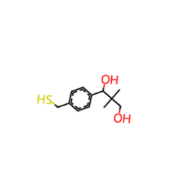 CC(C)(CO)C(O)c1ccc(CS)cc1